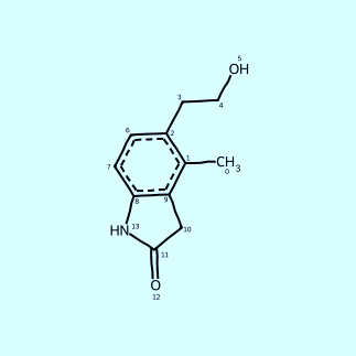 Cc1c(CCO)ccc2c1CC(=O)N2